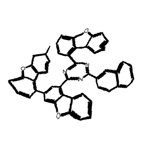 CC1C=Cc2c(oc3cccc(-c4cc(-c5nc(-c6ccc7ccccc7c6)nc(-c6cccc7oc8ccccc8c67)n5)c5c(c4)oc4ccccc45)c23)C1